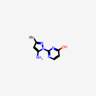 CC(C)(C)c1cc(N)n(-c2nccc(O)n2)n1